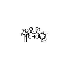 CCC(CC(=O)C1(C=O)NCCO1)c1ccccc1